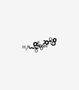 Cc1cc(C(=O)N2CCCCc3ccccc32)ccc1CNC(=O)ON1CC(=O)N(CCCN)c2cccc(F)c21